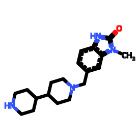 Cn1c(=O)[nH]c2ccc(CN3CCC(C4CCNCC4)CC3)cc21